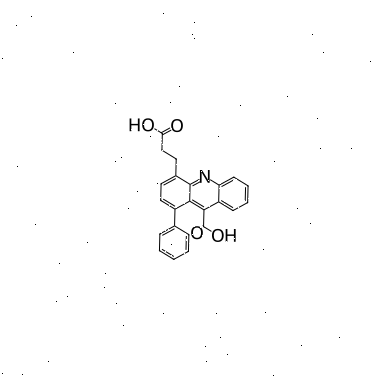 O=C(O)CCc1ccc(-c2ccccc2)c2c(C(=O)O)c3ccccc3nc12